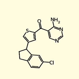 Nc1ncncc1C(=O)c1cc(C2CCc3ccc(Cl)cc32)cs1